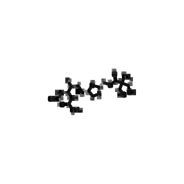 CC(C)COC(=O)NC(NC=O)/C(F)=C\N[C@H]1CS[C@@H](COC(=O)C(C)(CO)CO)O1